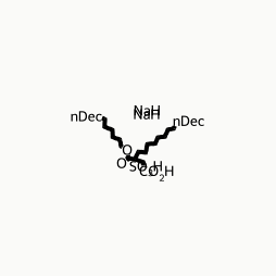 CCCCCCCCCCCCCCCCCCC(CC(=O)O)(C(=O)OCCCCCCCCCCCCCCCC)S(=O)(=O)O.[NaH].[NaH]